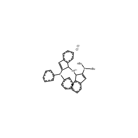 CCCCP(CCCC)C1=Cc2ccccc2[CH]1[Hf+2][CH]1C(P(c2ccccc2)c2ccccc2)=Cc2ccccc21.[Cl-].[Cl-]